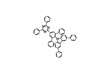 c1ccc(-c2ccc3c(c2)c2cc(-c4ccccc4)ccc2n3-c2c(-c3ccccc3)cc(-c3nc(-c4ccccc4)nc(-c4ccccc4)n3)cc2-c2ccccc2)cc1